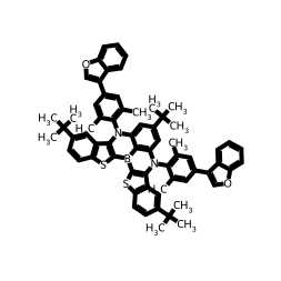 Cc1cc(-c2coc3ccccc23)cc(C)c1N1c2cc(C(C)(C)C)cc3c2B(c2sc4ccc(C(C)(C)C)cc4c21)c1sc2ccc(C(C)(C)C)cc2c1N3c1c(C)cc(-c2coc3ccccc23)cc1C